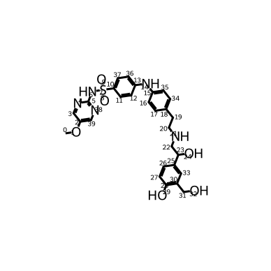 COc1cnc(NS(=O)(=O)c2ccc(Nc3ccc(CCNCC(O)c4ccc(O)c(CO)c4)cc3)cc2)nc1